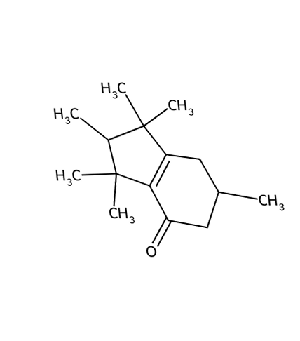 CC1CC(=O)C2=C(C1)C(C)(C)C(C)C2(C)C